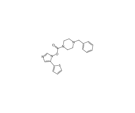 O=C(On1cncc1-c1cccs1)N1CCN(Cc2ccccc2)CC1